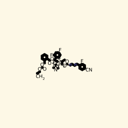 C=CCOC(=O)OCc1ccccc1C(=O)O[C@@](Cn1cncn1)(c1ccc(F)cc1F)[C@@H](C)S[C@H]1CO[C@H](/C=C/C=C/c2ccc(C#N)cc2F)OC1